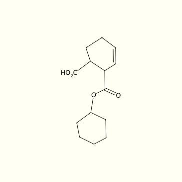 O=C(OC1CCCCC1)C1C=CCCC1C(=O)O